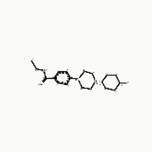 CCOC(=O)c1ccc(N2CCN([C@H]3CC[C@H](C)CC3)CC2)cc1